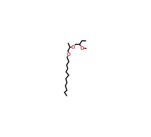 CCCCCCCCCCCCOCC(C)OCC(CC)OC